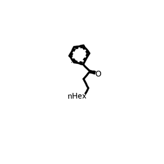 CCCCCCCCC(=O)c1[c]cccc1